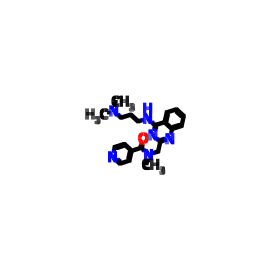 CN(C)CCCNc1nc(CN(C)C(=O)c2ccncc2)nc2ccccc12